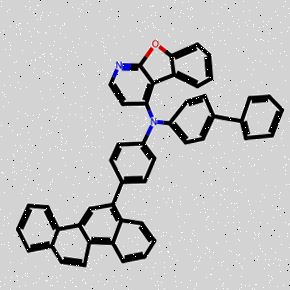 c1ccc(-c2ccc(N(c3ccc(-c4cc5c6ccccc6ccc5c5ccccc45)cc3)c3ccnc4oc5ccccc5c34)cc2)cc1